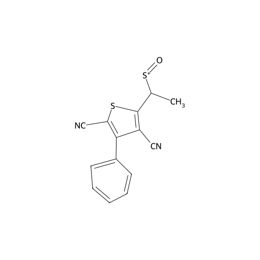 CC([S+]=O)c1sc(C#N)c(-c2ccccc2)c1C#N